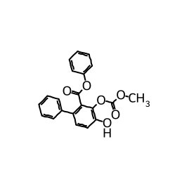 COC(=O)Oc1c(O)ccc(-c2ccccc2)c1C(=O)Oc1ccccc1